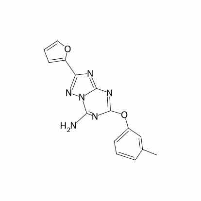 Cc1cccc(Oc2nc(N)n3nc(-c4ccco4)nc3n2)c1